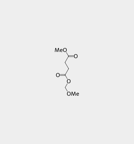 COCOC(=O)CCC(=O)OC